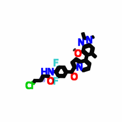 COc1c(-c2cccn3c(C(=O)c4cc(F)c(NC(=O)/C=C/CCl)c(F)c4)ccc23)c(C)cc2c1nc(C)n2C